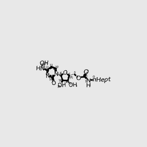 CCCCCCCNC(=O)OC[C@H]1O[C@@H](n2ccc(NO)nc2=O)C(O)[C@H]1O